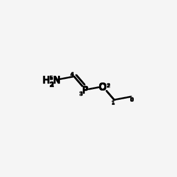 CCOP=CN